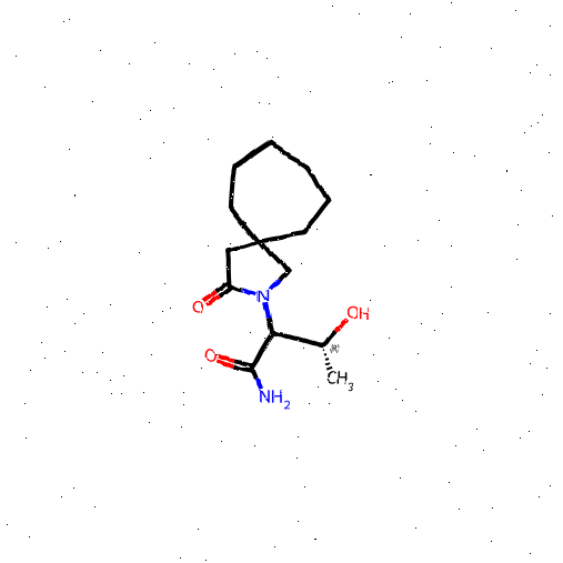 C[C@@H](O)C(C(N)=O)N1CC2(CCCCCC2)CC1=O